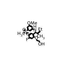 CC/C=C(/C)C(Nc1cc(OC)cc(S(C)(=O)=O)c1)c1ccc(F)cc1OCCO